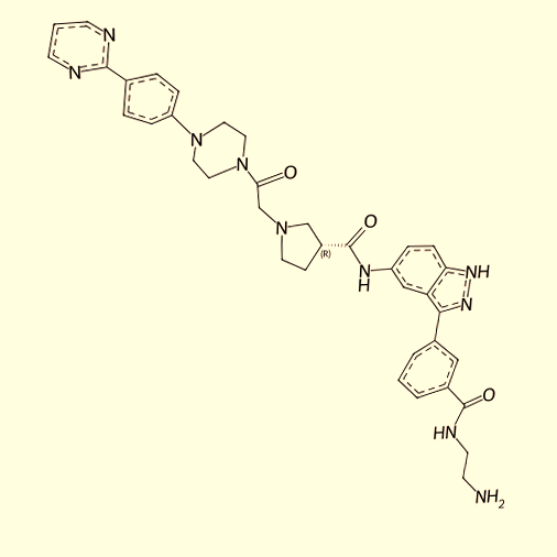 NCCNC(=O)c1cccc(-c2n[nH]c3ccc(NC(=O)[C@@H]4CCN(CC(=O)N5CCN(c6ccc(-c7ncccn7)cc6)CC5)C4)cc23)c1